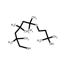 CC(C)(O)CCOC(C)(C)CC(C)(C)CC(C)(C)CS